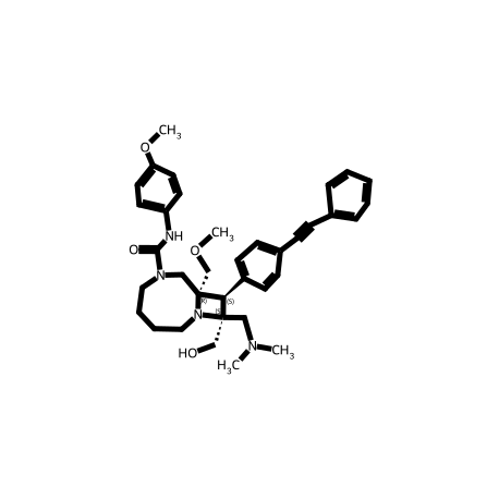 COC[C@@]12CN(C(=O)Nc3ccc(OC)cc3)CCCCN1[C@](CO)(CN(C)C)[C@@H]2c1ccc(C#Cc2ccccc2)cc1